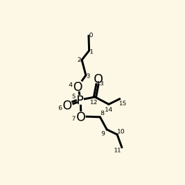 CCCCOP(=O)(OCCCC)C(=O)CC